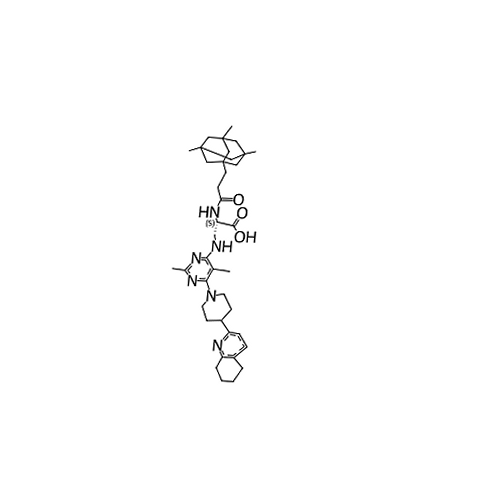 Cc1nc(NC[C@H](NC(=O)CCC23CC4(C)CC(C)(CC(C)(C4)C2)C3)C(=O)O)c(C)c(N2CCC(c3ccc4c(n3)CCCC4)CC2)n1